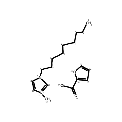 CCCCCCCCCn1cc[n+](C)c1.O=C([O-])c1ccco1